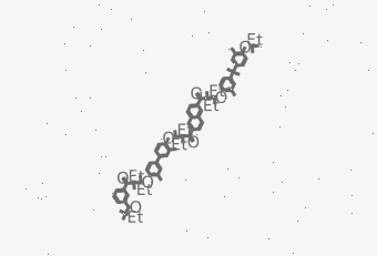 CCC(C)(C)Oc1ccc(C(C)(C)c2ccc(OC(C)(CC)C(C)(CC)C(=O)c3ccc4cc(C(=O)C(C)(CC)C(C)(CC)Oc5ccc(-c6ccc(OC(C)(CC)C(C)(CC)C(=O)c7cccc(C(=O)C(C)(C)CC)c7)c(C)c6)cc5C)ccc4c3)c(C)c2)cc1C